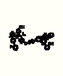 CC(C)[C@@H](C(=O)N1C[C@H](O)C[C@H]1C1=NO[C@@](C)(c2ccc(-c3ccccc3F)cc2)N1)c1cc(O[C@H]2CC3(C2)C[C@H](N2CCC(c4cnc(N5C6CCC5CN(c5c[nH]c7nnc(-c8ccccc8O)cc57)C6)nc4)CC2)C3)no1